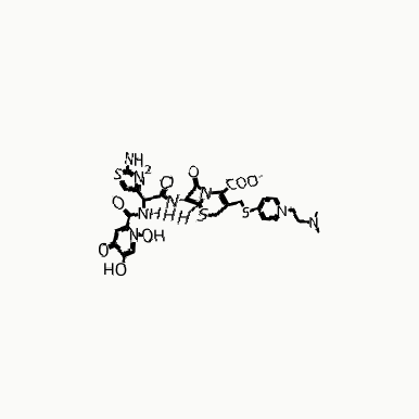 CN(C)CC[n+]1ccc(SCC2=C(C(=O)[O-])N3C(=O)[C@@H](NC(=O)C(NC(=O)c4cc(=O)c(O)cn4O)c4csc(N)n4)[C@H]3SC2)cc1